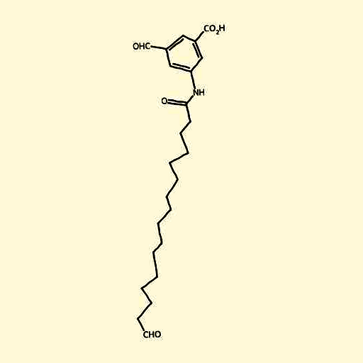 O=CCCCCCCCCCCCCCCC(=O)Nc1cc(C=O)cc(C(=O)O)c1